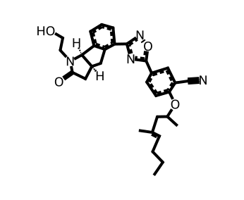 CCC/C=C(\C)CC(C)Oc1ccc(-c2nc(-c3cccc4c3C[C@H]3CC(=O)N(CCO)[C@@H]43)no2)cc1C#N